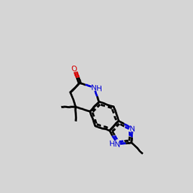 Cc1nc2cc3c(cc2[nH]1)C(C)(C)CC(=O)N3